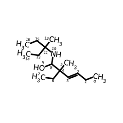 CCC=CC(C)(CC)C(O)NC(C)(CC)CC